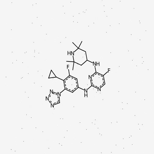 CC1(C)CC(Nc2nc(Nc3cc(F)c(C4CC4)c(-n4cnnn4)c3)ncc2F)CC(C)(C)N1